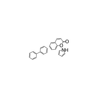 O=c1ccc2ccccc2o1.c1cc[nH]c1.c1ccc(-c2ccccc2)cc1